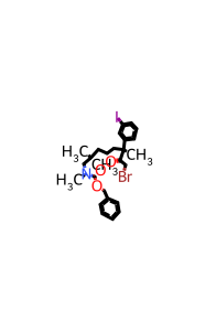 CN(CC(C)(C)CCCC(C)(C(=O)CBr)c1cccc(I)c1)C(=O)OCc1ccccc1